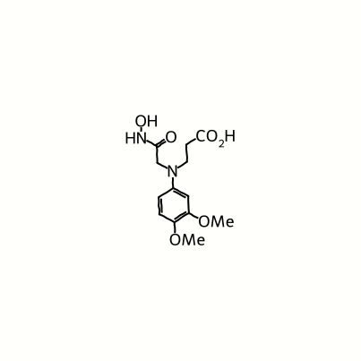 COc1ccc(N(CCC(=O)O)CC(=O)NO)cc1OC